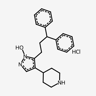 Cl.On1ncc(C2CCNCC2)c1CCC(c1ccccc1)c1ccccc1